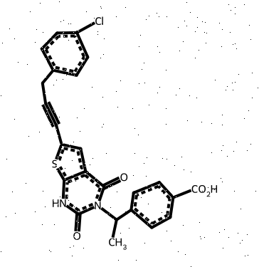 CC(c1ccc(C(=O)O)cc1)n1c(=O)[nH]c2sc(C#CCc3ccc(Cl)cc3)cc2c1=O